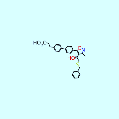 Cc1noc(-c2ccc(-c3ccc(CCC(=O)O)cc3)cc2)c1[C@H](O)CSCc1ccccc1